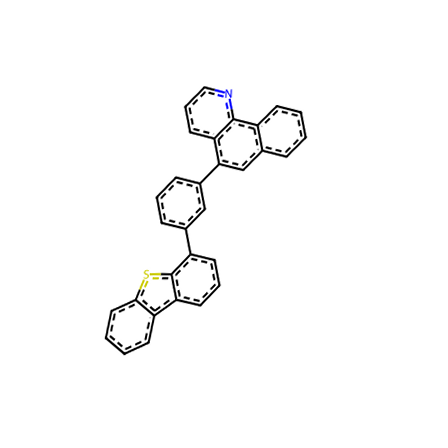 c1cc(-c2cc3ccccc3c3ncccc23)cc(-c2cccc3c2sc2ccccc23)c1